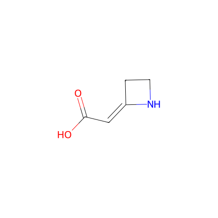 O=C(O)C=C1CCN1